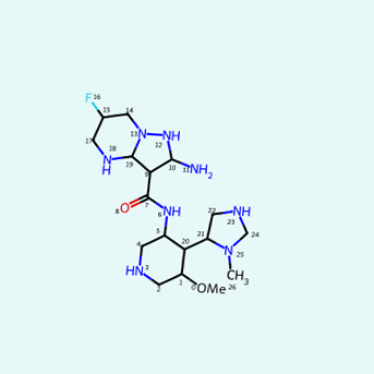 COC1CNCC(NC(=O)C2C(N)NN3CC(F)CNC23)C1C1CNCN1C